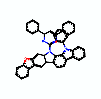 C1=C(c2ccccc2)N=C(N2c3c(ccc4c5ccccc5n(-c5ccccc5)c34)C3C=c4c(oc5ccccc45)=CC32)NC1c1ccccc1